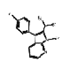 CC(C)n1c(C(Br)Br)c(-c2ccc(F)cc2)c2cccnc21